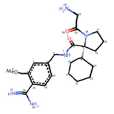 COc1cc(CNC(=O)[C@]2(C3CCCCC3)CCCN2C(=O)CN)ccc1C(=N)N